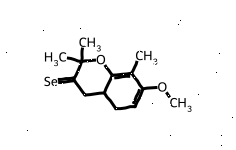 COC1=CCC2CC(=[Se])C(C)(C)OC2=C1C